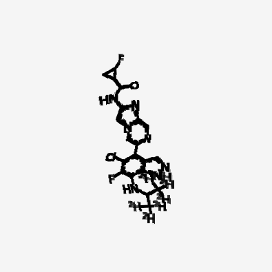 [2H]C([2H])([2H])C(Nc1c(F)c(Cl)c(-c2cn3cc(NC(=O)C4CC4F)nc3cn2)c2cn[nH]c12)C([2H])([2H])[2H]